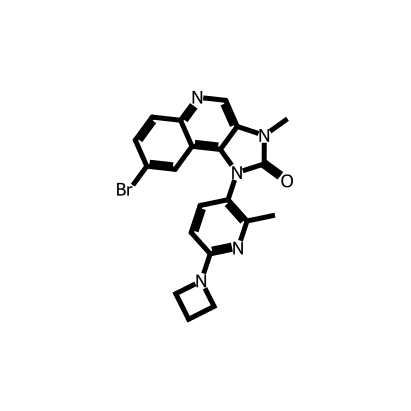 Cc1nc(N2CCC2)ccc1-n1c(=O)n(C)c2cnc3ccc(Br)cc3c21